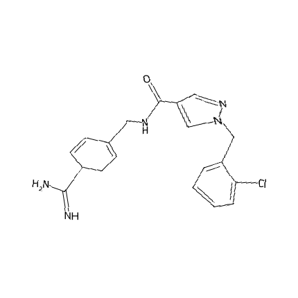 N=C(N)C1C=CC(CNC(=O)c2cnn(Cc3ccccc3Cl)c2)=CC1